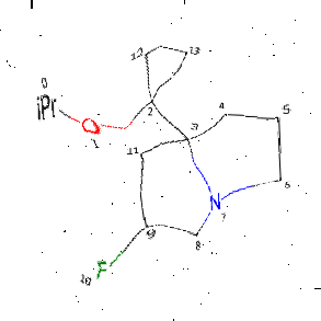 CC(C)OC1(C23CCCN2CC(F)C3)CC1